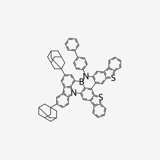 c1ccc(-c2ccc(N3B4c5c(cc6c(sc7ccccc76)c5-c5cc6sc7ccccc7c6cc53)-n3c5ccc(C67CC8CC(CC(C8)C6)C7)cc5c5cc(C67CC8CC(CC(C8)C6)C7)cc4c53)cc2)cc1